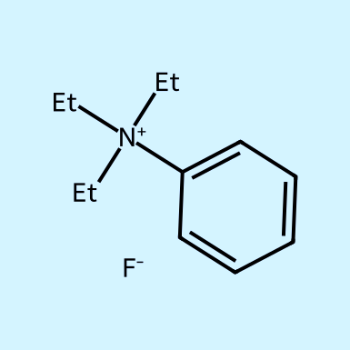 CC[N+](CC)(CC)c1ccccc1.[F-]